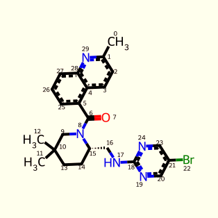 Cc1ccc2c(C(=O)N3CC(C)(C)CC[C@H]3CNc3ncc(Br)cn3)cccc2n1